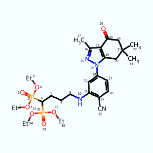 CCOP(=O)(OCC)C(CCCNc1cc(-n2nc(C)c3c2CC(C)(C)CC3=O)ccc1C#N)P(=O)(OCC)OCC